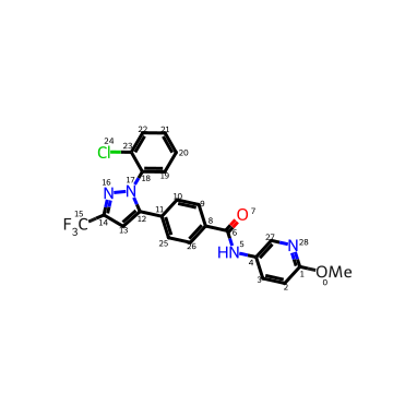 COc1ccc(NC(=O)c2ccc(-c3cc(C(F)(F)F)nn3-c3ccccc3Cl)cc2)cn1